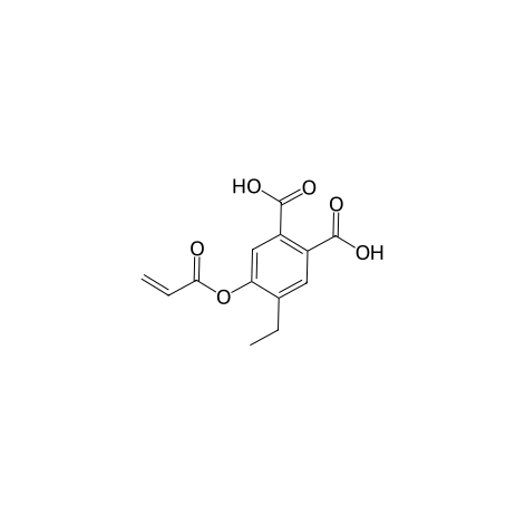 C=CC(=O)Oc1cc(C(=O)O)c(C(=O)O)cc1CC